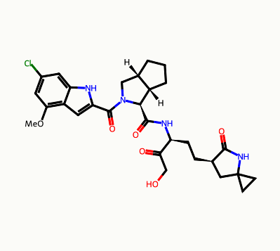 COc1cc(Cl)cc2[nH]c(C(=O)N3C[C@@H]4CCC[C@@H]4[C@H]3C(=O)N[C@@H](CC[C@@H]3CC4(CC4)NC3=O)C(=O)CO)cc12